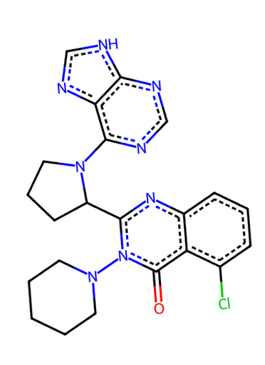 O=c1c2c(Cl)cccc2nc(C2CCCN2c2ncnc3[nH]cnc23)n1N1CCCCC1